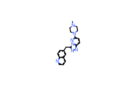 CN1CCN(c2ccc3nnc(Cc4ccc5ncccc5c4)n3n2)CC1